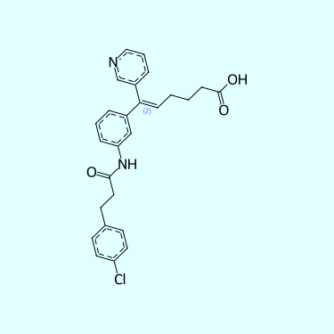 O=C(O)CCC/C=C(\c1cccnc1)c1cccc(NC(=O)CCc2ccc(Cl)cc2)c1